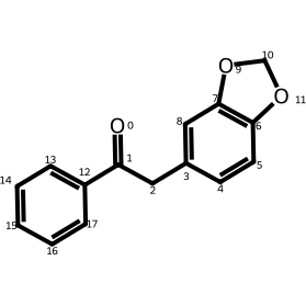 O=C(Cc1ccc2c(c1)OCO2)c1ccccc1